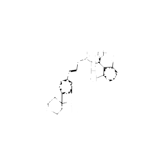 CCOC1(c2ccc(/C=C/CC(NC(=O)c3c(Cl)cccc3Cl)C(=O)O)cc2)CCOCC1